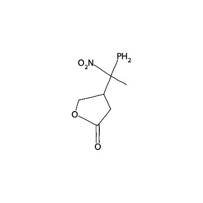 CC(P)(C1COC(=O)C1)[N+](=O)[O-]